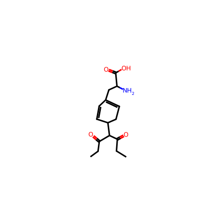 CCC(=O)C(C(=O)CC)C1C=CC(CC(N)C(=O)O)=CC1